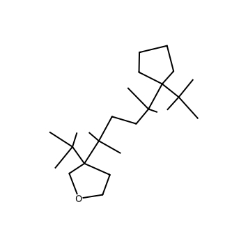 CC(C)(C)C1(C(C)(C)CCC(C)(C)C2(C(C)(C)C)CCOC2)CCCC1